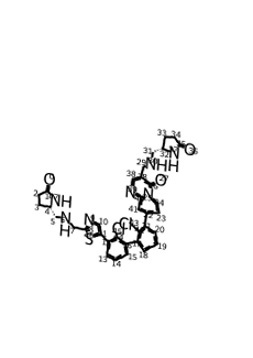 O=C1CC[C@@H](CNCc2ncc(-c3cccc(-c4cccc(-c5ccn6c(=O)c(CNC[C@@H]7CCC(=O)N7)cnc6c5)c4Cl)c3Cl)s2)N1